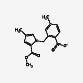 COC(=O)c1cc(C)cn1Cc1cc(C)ccc1[N+](=O)[O-]